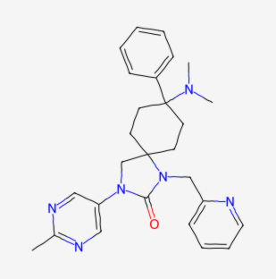 Cc1ncc(N2CC3(CCC(c4ccccc4)(N(C)C)CC3)N(Cc3ccccn3)C2=O)cn1